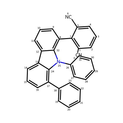 N#Cc1cccc(C#N)c1-c1cccc2c3cccc(-c4ccccc4)c3n(-c3ccccc3)c12